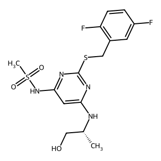 C[C@H](CO)Nc1cc(NS(C)(=O)=O)nc(SCc2cc(F)ccc2F)n1